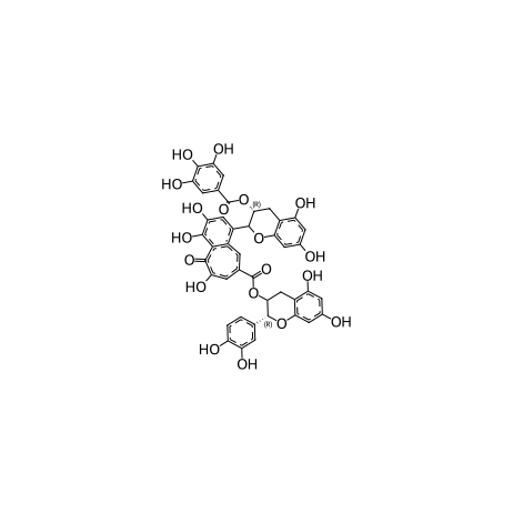 O=C(OC1Cc2c(O)cc(O)cc2O[C@@H]1c1ccc(O)c(O)c1)c1cc(O)c(=O)c2c(O)c(O)cc(C3Oc4cc(O)cc(O)c4C[C@H]3OC(=O)c3cc(O)c(O)c(O)c3)c2c1